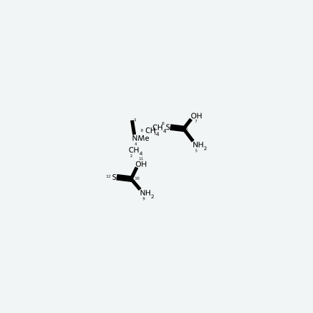 C.C.C.CNC.NC(O)=S.NC(O)=S